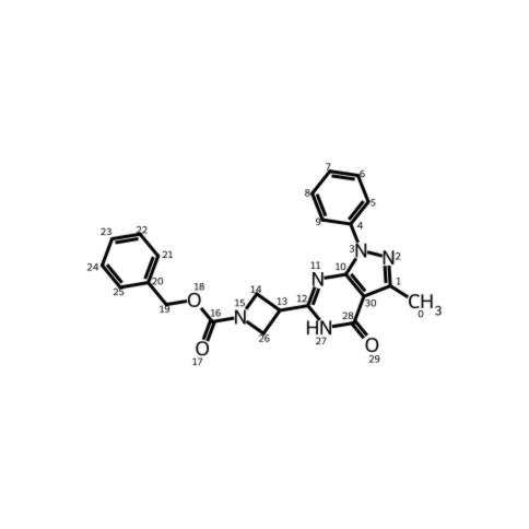 Cc1nn(-c2ccccc2)c2nc(C3CN(C(=O)OCc4ccccc4)C3)[nH]c(=O)c12